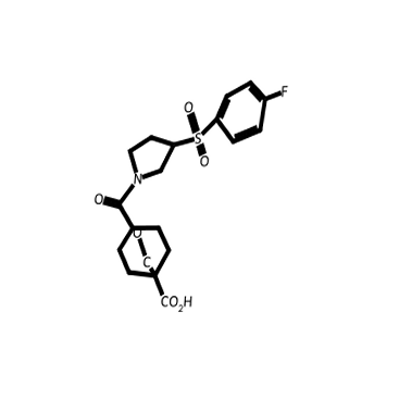 O=C(O)C12CCC(C(=O)N3CCC(S(=O)(=O)c4ccc(F)cc4)C3)(CC1)OC2